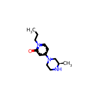 CCCn1ccc(N2CCN[C@H](C)C2)cc1=O